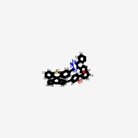 c1ccc(-c2nnc(-c3ccc4c(c3)Sc3ccccc3C43c4ccccc4-c4ccc(-c5ccc6c(c5)oc5ccccc56)cc43)nc2-c2ccccc2)cc1